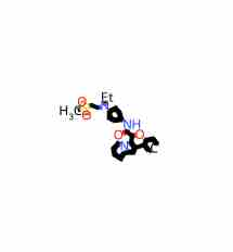 CCN(CCS(C)(=O)=O)c1ccc(NC(=O)C(=O)c2c(-c3ccccc3)cc3ccccn23)cc1